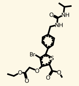 CCOC(=O)COc1c(C(=O)OC)sc(-c2ccc(CNC(=O)NC(C)C)cc2)c1Br